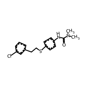 CN(C)C(=O)Nc1ccc(SCCc2cccc(Cl)c2)cc1